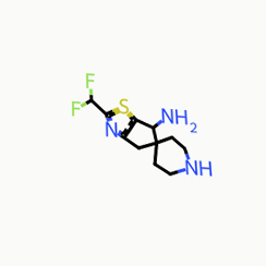 NC1c2sc(C(F)F)nc2CC12CCNCC2